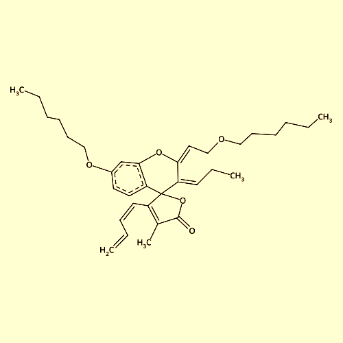 C=C/C=C\C1=C(C)C(=O)OC12C(=C/CC)/C(=C\COCCCCCC)Oc1cc(OCCCCCC)ccc12